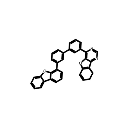 C1=Cc2oc3c(-c4cccc(-c5cccc(-c6cccc7c6oc6ccccc67)c5)c4)ncnc3c2CC1